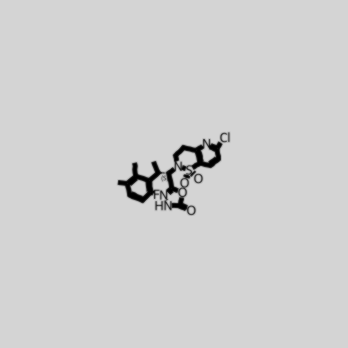 Cc1ccc(F)c(C(C)[C@@H](c2n[nH]c(=O)o2)N2CCc3nc(Cl)ccc3S2(=O)=O)c1C